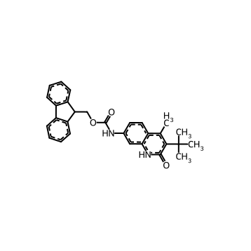 Cc1c(C(C)(C)C)c(=O)[nH]c2cc(NC(=O)OCC3c4ccccc4-c4ccccc43)ccc12